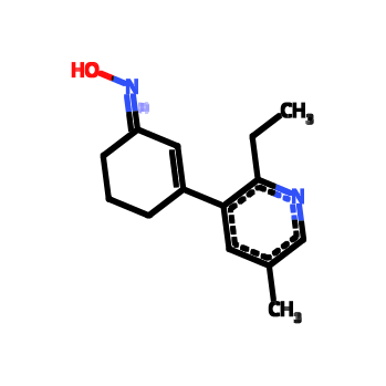 CCc1ncc(C)cc1C1=C/C(=N/O)CCC1